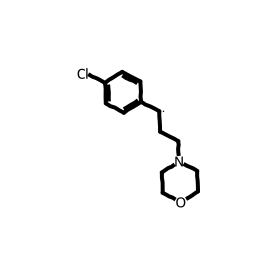 Clc1ccc([CH]CCN2CCOCC2)cc1